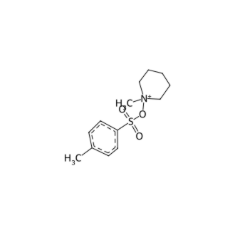 Cc1ccc(S(=O)(=O)O[N+]2(C)CCCCC2)cc1